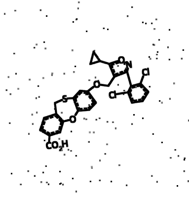 O=C(O)c1ccc2c(c1)Oc1ccc(OCc3c(-c4c(Cl)cccc4Cl)noc3C3CC3)cc1SC2